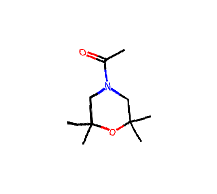 CC(=O)N1CC(C)(C)OC(C)(C)C1